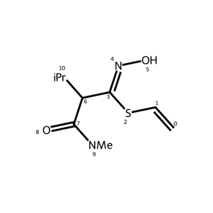 C=CSC(=NO)C(C(=O)NC)C(C)C